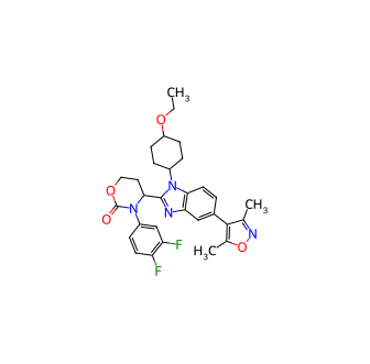 CCOC1CCC(n2c(C3CCOC(=O)N3c3ccc(F)c(F)c3)nc3cc(-c4c(C)noc4C)ccc32)CC1